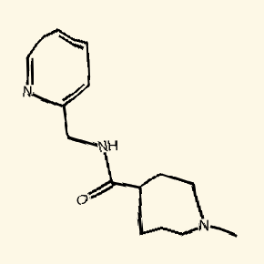 CN1CCC(C(=O)NCc2ccccn2)CC1